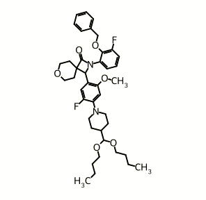 CCCCOC(OCCCC)C1CCN(c2cc(OC)c(C3N(c4cccc(F)c4OCc4ccccc4)C(=O)C34CCOCC4)cc2F)CC1